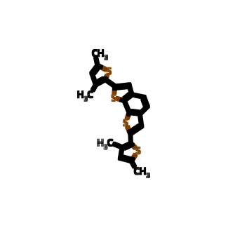 Cc1cc(C)c(-c2cc3ccc4cc(-c5sc(C)cc5C)sc4c3s2)s1